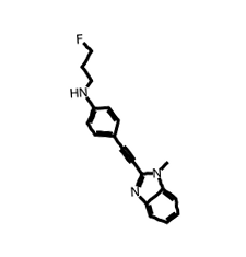 Cn1c(C#Cc2ccc(NCCCF)cc2)nc2ccccc21